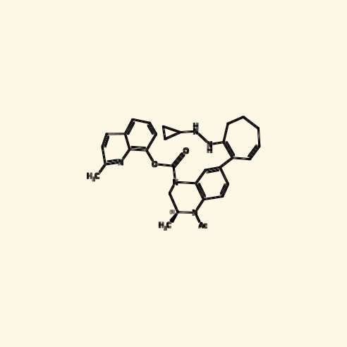 CC(=O)N1c2ccc(C3=C(NNC4CC4)CCCC=C3)cc2N(C(=O)Oc2cccc3ccc(C)nc23)C[C@@H]1C